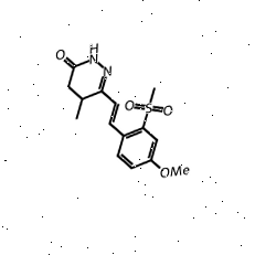 COc1ccc(C=CC2=NNC(=O)CC2C)c(S(C)(=O)=O)c1